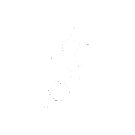 CC(=O)Nc1ccc(S(=O)(=O)Nc2c(C)nn(C)c2C)cc1